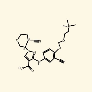 C#Cc1cc(Nc2nn([C@H]3COCC[C@@H]3C#N)cc2C(N)=O)ccc1OCOCC[Si](C)(C)C